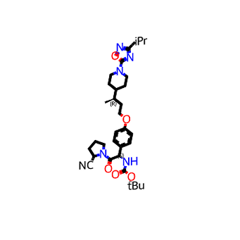 CC(C)c1noc(N2CCC([C@H](C)CCOc3ccc([C@H](NC(=O)OC(C)(C)C)C(=O)N4CCCC4C#N)cc3)CC2)n1